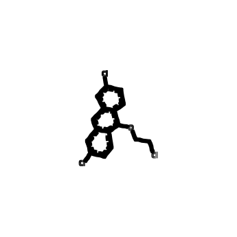 ClCCOc1c2ccc(Cl)cc2cc2cc(Cl)ccc12